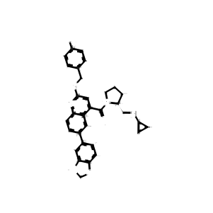 O=C(c1cc(NCc2ccc(C(F)(F)F)cc2)nc2ccc(-c3ccc4c(c3)OCO4)cc12)N1CCC[C@H]1CNC1CC1